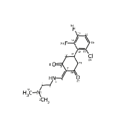 CN(C)CCNC=C1C(=O)CC(c2c(Cl)ccc(F)c2F)CC1=O